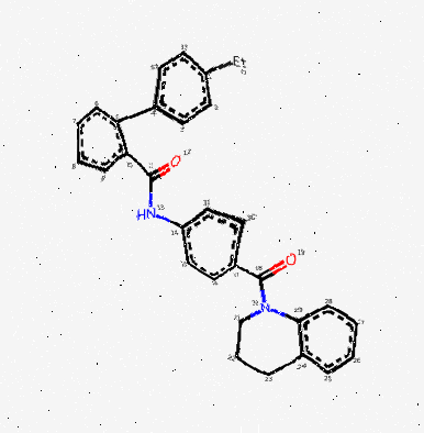 CCc1ccc(-c2ccccc2C(=O)Nc2ccc(C(=O)N3CCCc4ccccc43)cc2)cc1